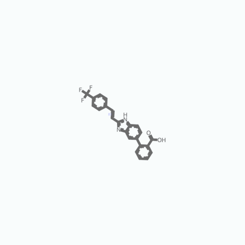 O=C(O)c1ccccc1-c1ccc2[nH]c(/C=C/c3ccc(C(F)(F)F)cc3)nc2c1